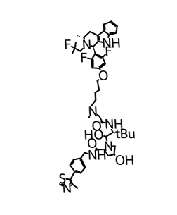 Cc1ncsc1-c1ccc(CNC(=O)[C@@H]2C[C@@H](O)CN2C(O)[C@@H](NC(=O)CN(C)CCCCCOc2cc(F)c([C@@H]3c4[nH]c5ccccc5c4C[C@@H](C)N3CC(C)(C)F)c(F)c2)C(C)(C)C)cc1